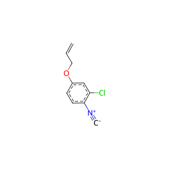 [C-]#[N+]c1ccc(OCC=C)cc1Cl